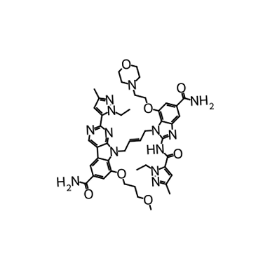 CCn1nc(C)cc1C(=O)Nc1nc2cc(C(N)=O)cc(OCCN3CCOCC3)c2n1CC=CCn1c2nc(-c3cc(C)nn3CC)ncc2c2cc(C(N)=O)cc(OCCCOC)c21